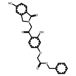 N#Cc1ccc2c(c1)CN(CC(=O)c1ccc(OCC(=O)OCc3ccccc3)cc1O)C2=O